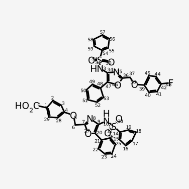 O=C(O)c1ccc(OCc2nc(NS(=O)(=O)c3ccccc3)c(-c3ccccc3)o2)cc1.O=S(=O)(Nc1nc(COc2ccc(F)cc2)oc1-c1ccccc1)c1ccccc1